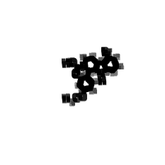 COc1ccc(C2c3[nH]c4cccc(Br)c4c3CCN2C(=O)O)cc1